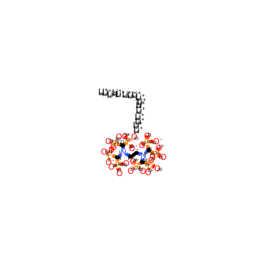 O=P([O-])([O-])C(N(CCN(C(P(=O)([O-])[O-])P(=O)([O-])[O-])C(P(=O)([O-])[O-])P(=O)([O-])[O-])C(P(=O)([O-])[O-])P(=O)([O-])[O-])P(=O)([O-])[O-].[Li+].[Li+].[Li+].[Li+].[Li+].[Li+].[Li+].[Li+].[Li+].[Li+].[Li+].[Li+].[Li+].[Li+].[Li+].[Li+]